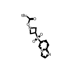 CC(C)(C)C(=O)ON1CC(S(=O)(=O)c2ccc3nccn3c2)C1